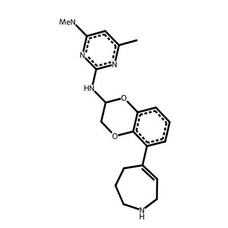 CNc1cc(C)nc(NC2COc3c(cccc3C3=CCNCCC3)O2)n1